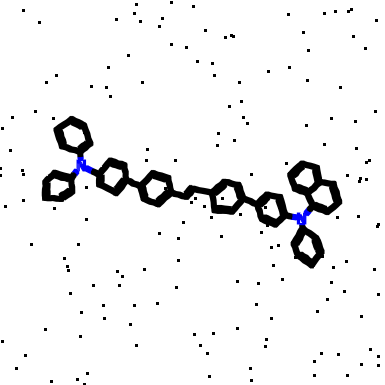 C(=C\c1ccc(-c2ccc(N(c3ccccc3)c3cccc4ccccc34)cc2)cc1)/c1ccc(-c2ccc(N(c3ccccc3)c3ccccc3)cc2)cc1